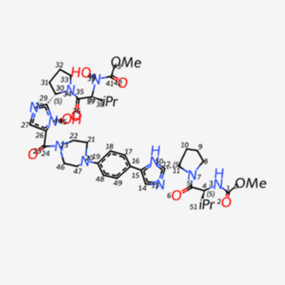 COC(=O)N[C@H](C(=O)N1CCC[C@H]1c1ncc(-c2ccc(N3CCN(C(=O)c4cnc([C@@H]5CCCN5C(=O)[C@H](C(C)C)N(O)C(=O)OC)n4O)CC3)cc2)[nH]1)C(C)C